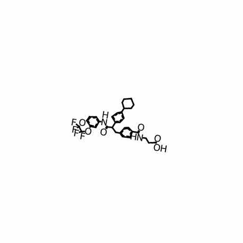 O=C(O)CCNC(=O)c1ccc(CC(C(=O)Nc2ccc3c(c2)OC(F)(F)C(F)(F)O3)c2ccc(C3CCCCC3)cc2)cc1